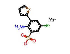 Nc1c(-c2cccs2)cc(Br)cc1S(=O)(=O)[O-].[Na+]